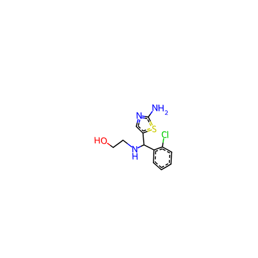 Nc1ncc(C(NCCO)c2ccccc2Cl)s1